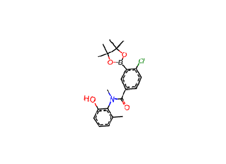 Cc1cccc(O)c1N(C)C(=O)c1ccc(Cl)c(B2OC(C)(C)C(C)(C)O2)c1